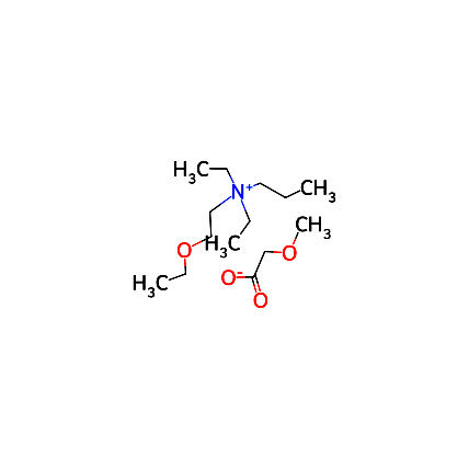 CCC[N+](CC)(CC)CCOCC.COCC(=O)[O-]